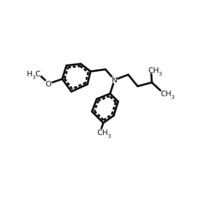 COc1ccc(CN(CCC(C)C)c2ccc(C)cc2)cc1